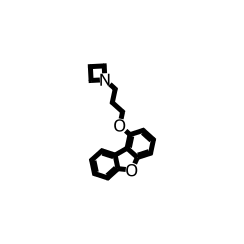 c1ccc2c(c1)oc1cccc(OCCCN3CCC3)c12